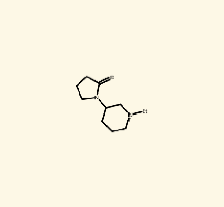 CCN1CCCC(N2CCCC2=O)C1